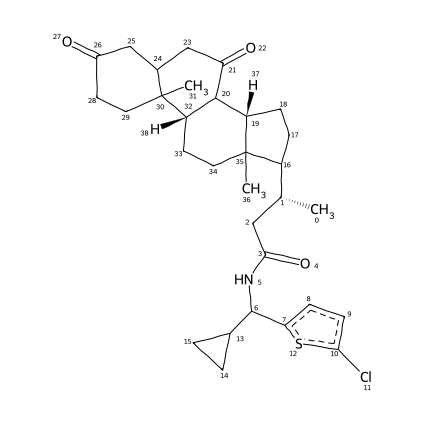 C[C@H](CC(=O)NC(c1ccc(Cl)s1)C1CC1)C1CC[C@H]2C3C(=O)CC4CC(=O)CCC4(C)[C@H]3CCC12C